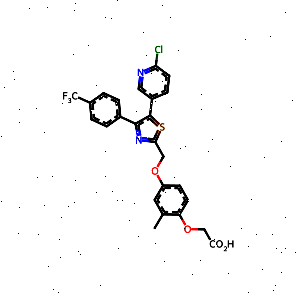 Cc1cc(OCc2nc(-c3ccc(C(F)(F)F)cc3)c(-c3ccc(Cl)nc3)s2)ccc1OCC(=O)O